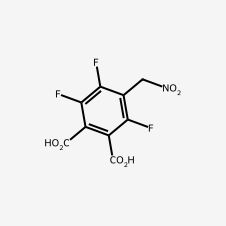 O=C(O)c1c(F)c(F)c(C[N+](=O)[O-])c(F)c1C(=O)O